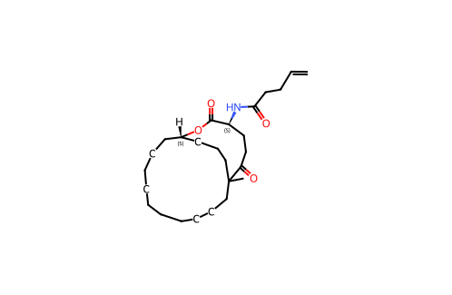 C=CCCC(=O)N[C@H]1CCC(=O)C2(C)CCCCCCCCCC[C@@H](CCC2)OC1=O